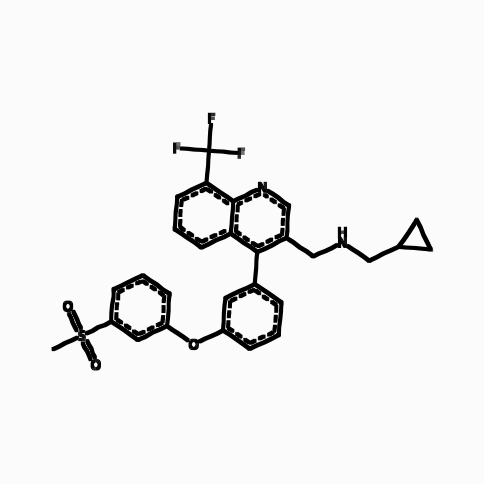 CS(=O)(=O)c1cccc(Oc2cccc(-c3c(CNCC4CC4)cnc4c(C(F)(F)F)cccc34)c2)c1